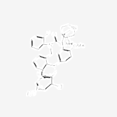 COc1ccc([C@H](Cc2c(Cl)c[n+](O)cc2Cl)c2c(CN(C(=O)O[C@H]3CN4CCC3CC4)c3ccccc3F)cccc2C(=O)[O-])cc1OC